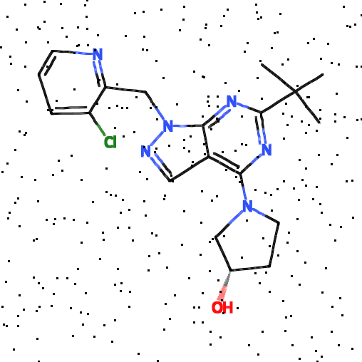 CC(C)(C)c1nc(N2CC[C@H](O)C2)c2cnn(Cc3ncccc3Cl)c2n1